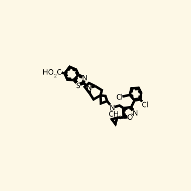 CN(Cc1c(-c2c(Cl)cccc2Cl)noc1C1CC1)C1CC2(C1)CC1CCC(C2)N1c1nc2ccc(C(=O)O)cc2s1